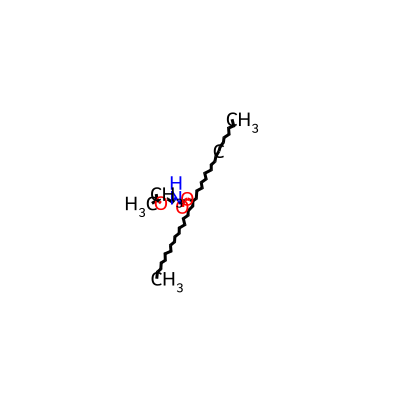 CCCCCCCCCCCCCCCCCCC(CCCCCCCCCCCCCCCCC)OC(=O)NCCOC(C)C